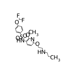 CCCNCCOc1ccc(NS(=O)(=O)c2ccc(OC(F)F)cc2)c(OC)n1